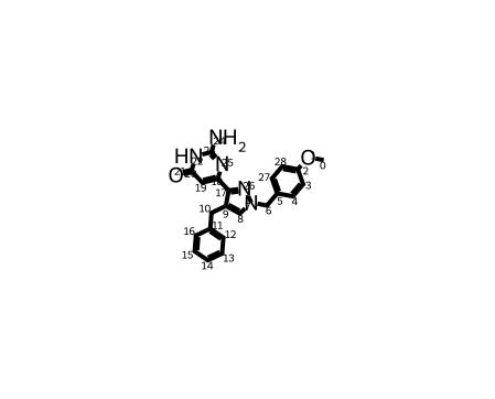 COc1ccc(Cn2cc(Cc3ccccc3)c(-c3cc(=O)[nH]c(N)n3)n2)cc1